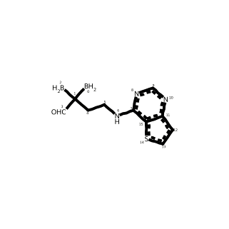 BC(B)(C=O)CCNc1ncnc2ccsc12